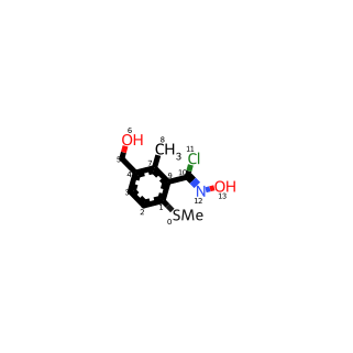 CSc1ccc(CO)c(C)c1/C(Cl)=N/O